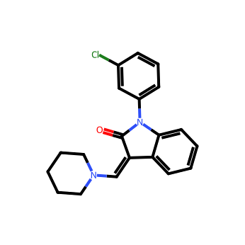 O=C1C(=CN2CCCCC2)c2ccccc2N1c1cccc(Cl)c1